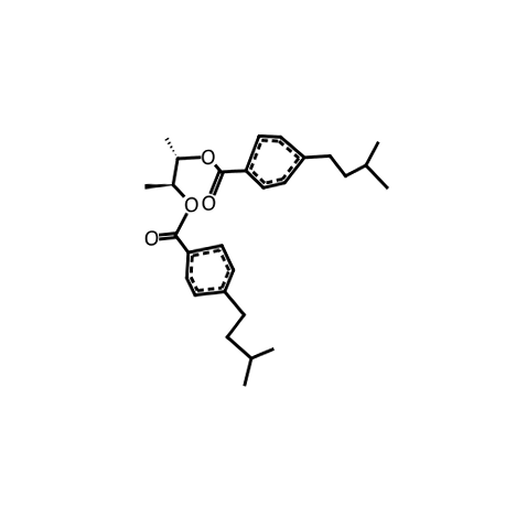 CC(C)CCc1ccc(C(=O)O[C@@H](C)[C@H](C)OC(=O)c2ccc(CCC(C)C)cc2)cc1